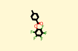 Cc1ccc(C(=O)Oc2c(F)c(F)c(F)c(F)c2F)cc1